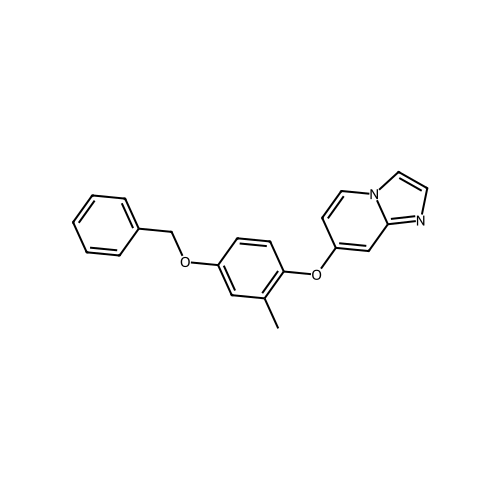 Cc1cc(OCc2ccccc2)ccc1Oc1ccn2ccnc2c1